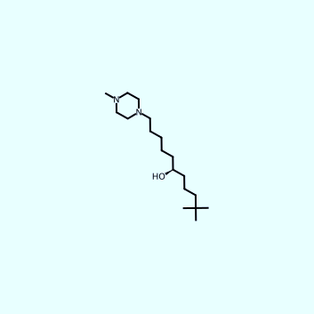 CN1CCN(CCCCC[C@H](O)CCCC(C)(C)C)CC1